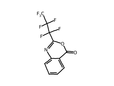 O=c1oc(C(F)(F)C(F)(F)C(F)(F)F)nc2ccccc12